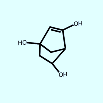 OC1=CC2(O)CC(O)C1C2